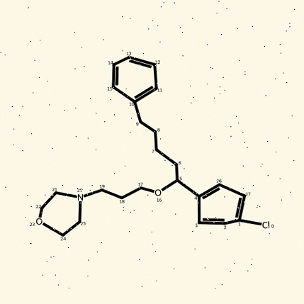 Clc1ccc(C(CCCCc2ccccc2)OCCCN2CCOCC2)cc1